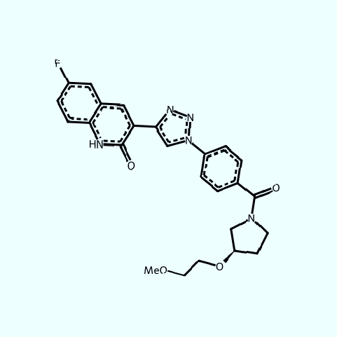 COCCO[C@@H]1CCN(C(=O)c2ccc(-n3cc(-c4cc5cc(F)ccc5[nH]c4=O)nn3)cc2)C1